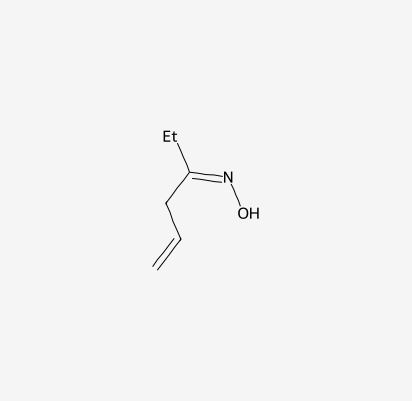 C=CCC(CC)=NO